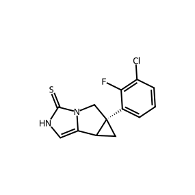 Fc1c(Cl)cccc1[C@]12CC1c1c[nH]c(=S)n1C2